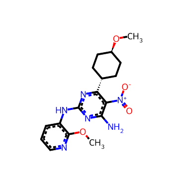 COc1ncccc1Nc1nc(N)c([N+](=O)[O-])c([C@H]2CC[C@H](OC)CC2)n1